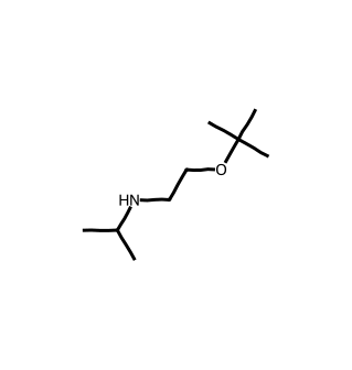 CC(C)NCCOC(C)(C)C